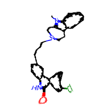 Cn1c2c(c3ccccc31)CCN(CCCc1ccc3[nH]c(=O)c4cc(Cl)ccc4c3c1)C2